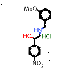 COc1cccc(CNCC(O)c2ccc([N+](=O)[O-])cc2)c1.Cl